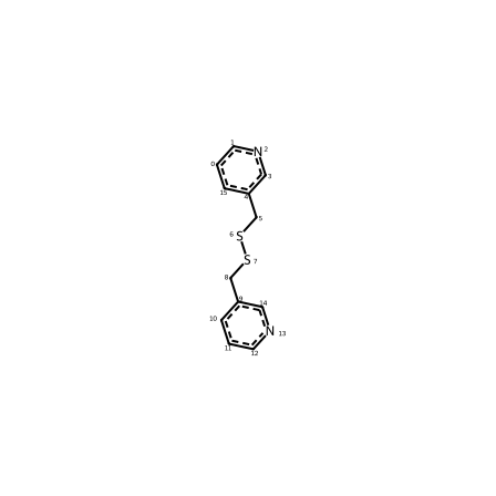 c1cncc(CSSCc2cccnc2)c1